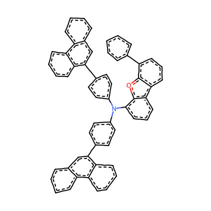 c1ccc(-c2cccc3c2oc2c(N(c4ccc(-c5cc6ccccc6c6ccccc56)cc4)c4ccc(-c5cc6ccccc6c6ccccc56)cc4)cccc23)cc1